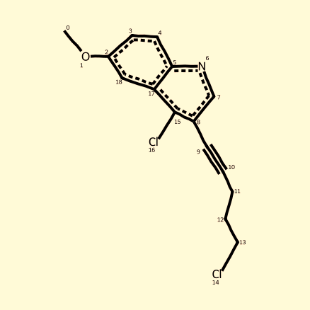 COc1ccc2ncc(C#CCCCCl)c(Cl)c2c1